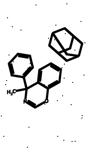 C1C2CC3CC1CC(C2)C3.CC1(c2ccccc2)N=COc2ccccc21